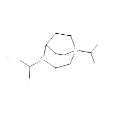 CC(C)N1CC[N+]2(C(C)C)CCC1CC2